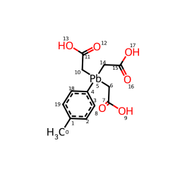 Cc1cc[c]([Pb]([CH2]C(=O)O)([CH2]C(=O)O)[CH2]C(=O)O)cc1